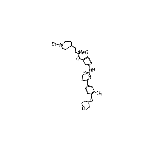 CCN1CCC(CCCOc2cc(Nc3nccc(-c4ccc(OC5CCOCC5)c(C#N)c4)n3)ccc2OC)CC1